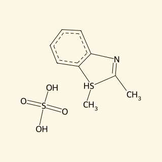 CC1=Nc2ccccc2[SH]1C.O=S(=O)(O)O